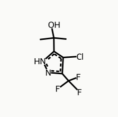 CC(C)(O)c1[nH]nc(C(F)(F)F)c1Cl